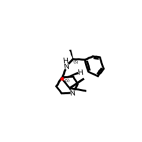 C[C@H](N[C@H]1C2CCN(CC2)C1(C)C)c1ccccc1